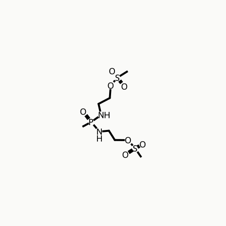 CP(=O)(NCCOS(C)(=O)=O)NCCOS(C)(=O)=O